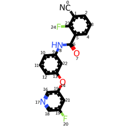 N#Cc1cccc(C(=O)Nc2cccc(Oc3cncc(F)c3)c2)c1F